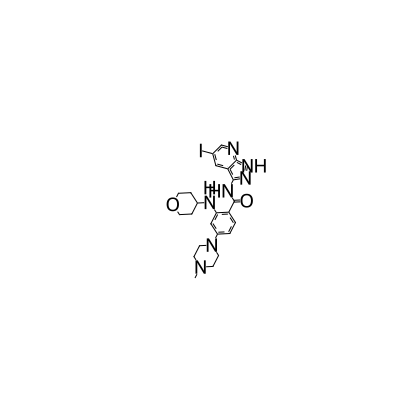 CN1CCN(c2ccc(C(=O)Nc3n[nH]c4ncc(I)cc34)c(NC3CCOCC3)c2)CC1